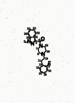 Cn1nc(C(=O)N2CCN(CCc3ccccc3F)CC2)c2ccccc21